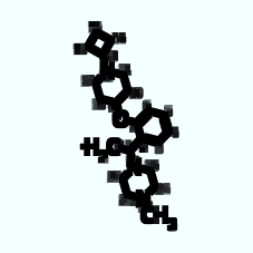 [CH2]C(c1ccccc1OC1CCN(C2CCC2)CC1)N1CCN(C)CC1